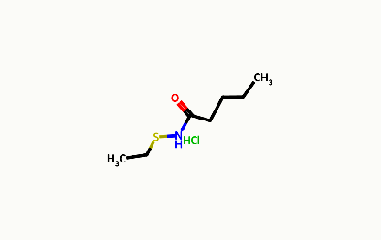 CCCCC(=O)NSCC.Cl